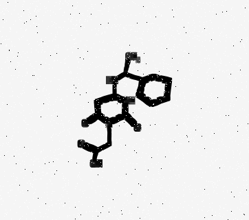 C[C@H](Nc1cc(=O)n(CC(=O)O)c(=O)[nH]1)c1ccccc1